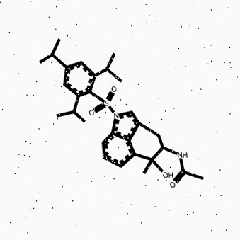 CC(=O)NC1Cc2cn(S(=O)(=O)c3c(C(C)C)cc(C(C)C)cc3C(C)C)c3cccc(c23)C1(C)O